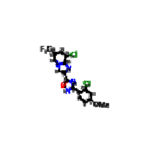 COc1ccc(-c2noc(-c3cn4cc(C(F)(F)F)cc(Cl)c4n3)n2)c(Cl)c1